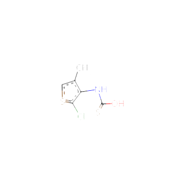 Cc1csc(Cl)c1NC(O)=S